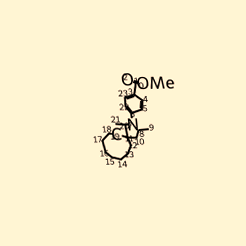 COC(=O)c1ccc(N2C(C)CC3(CCCCCCCC3)C2C)cc1